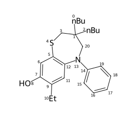 CCCCC1(CCCC)CSc2cc(O)c(CC)cc2N(c2ccccc2)C1